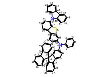 c1ccc(N(c2ccc3c(c2)C2(c4ccccc4-c4ccccc42)c2ccccc2-3)c2ccc3c(c2)sc2c(-n4c5ccccc5c5ccccc54)cccc23)cc1